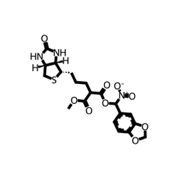 COC(=O)C(CCC[C@@H]1SC[C@@H]2NC(=O)N[C@@H]21)C(=O)OC(c1ccc2c(c1)OCO2)[N+](=O)[O-]